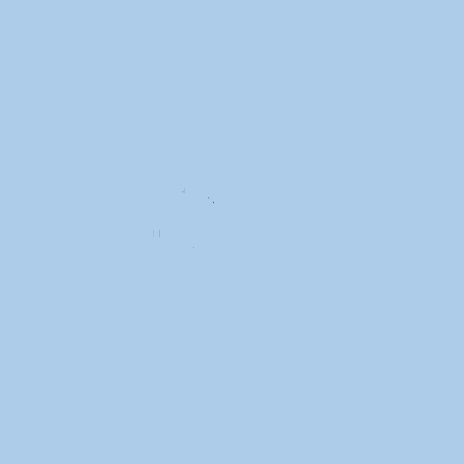 O=C(O)C(Cc1ccccc1)[NH][SnH3]